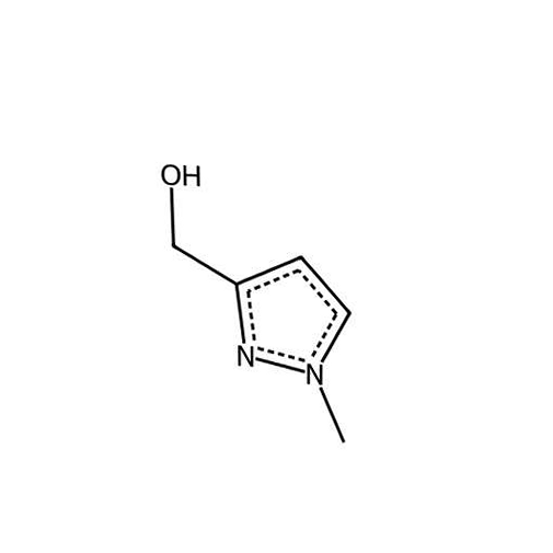 Cn1ccc(CO)n1